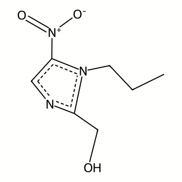 CCCn1c([N+](=O)[O-])cnc1CO